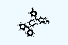 Cc1ccc(C(C2Cn3nc(C)nc3S2)N2CCN(C(c3ccccc3)c3ccccc3)CC2)cc1